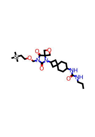 CCCNC(=O)NC1CCC2(CC1)CC(N1C(=O)N(COCC[Si](C)(C)C)C(=O)C13COC3)C2